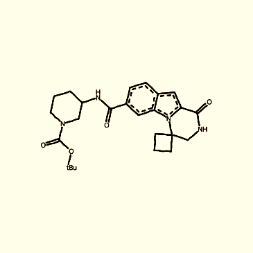 CC(C)(C)OC(=O)N1CCCC(NC(=O)c2ccc3cc4n(c3c2)C2(CCC2)CNC4=O)C1